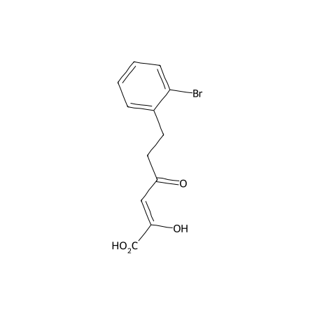 O=C(C=C(O)C(=O)O)CCc1ccccc1Br